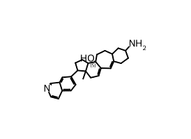 CC12CC=C3C=C4CCC(N)CC4CC[C@]3(O)C1CCC2c1ccc2ccncc2c1